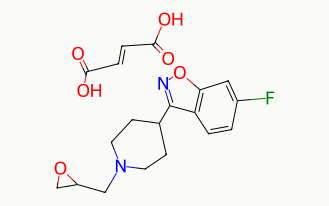 Fc1ccc2c(C3CCN(CC4CO4)CC3)noc2c1.O=C(O)C=CC(=O)O